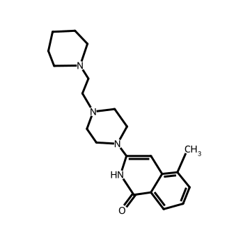 Cc1cccc2c(=O)[nH]c(N3CCN(CCN4CCCCC4)CC3)cc12